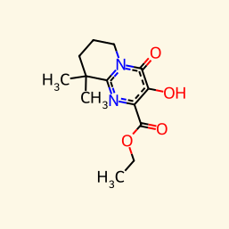 CCOC(=O)c1nc2n(c(=O)c1O)CCCC2(C)C